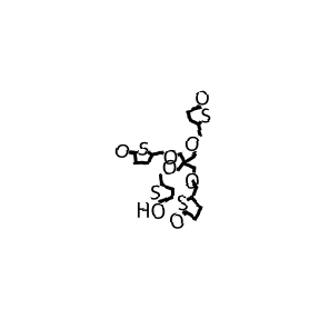 O=C1CCC(COCC(COCC2CCC(=O)S2)(COCC2CCC(=O)S2)COCC2CCC(O)S2)S1